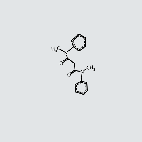 CN(C(=O)CC(=O)N(C)c1ccccc1)c1ccccc1